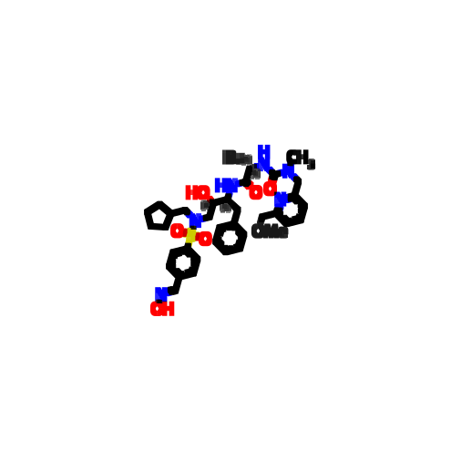 CC[C@H](C)[C@H](NC(=O)N(C)Cc1cccc(COC)n1)C(=O)N[C@@H](Cc1ccccc1)[C@H](O)CN(CC1CCCC1)S(=O)(=O)c1ccc(C=NO)cc1